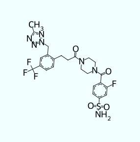 Cc1nnn(Cc2cc(C(F)(F)F)ccc2CCC(=O)N2CCN(C(=O)c3ccc(S(N)(=O)=O)cc3F)CC2)n1